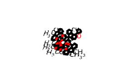 Cc1cccc2c1-c1c(ccc3oc4ccccc4c13)C2(c1cc(-c2cccc3c2-c2ccccc2C3(C)C)cc(-c2cccc3c2-c2ccccc2C3(C)C)c1)c1cc(-c2cccc3c2-c2ccccc2C3(C)C)cc(-c2cccc3c2-c2ccccc2C3(C)C)c1